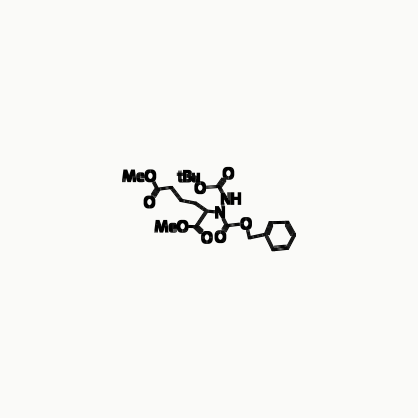 COC(=O)CCCC(C(=O)OC)N(NC(=O)OC(C)(C)C)C(=O)OCc1ccccc1